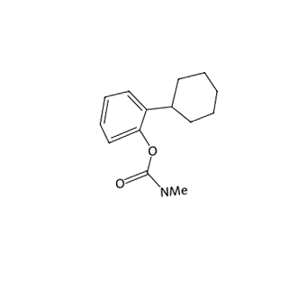 CNC(=O)Oc1ccccc1C1CCCCC1